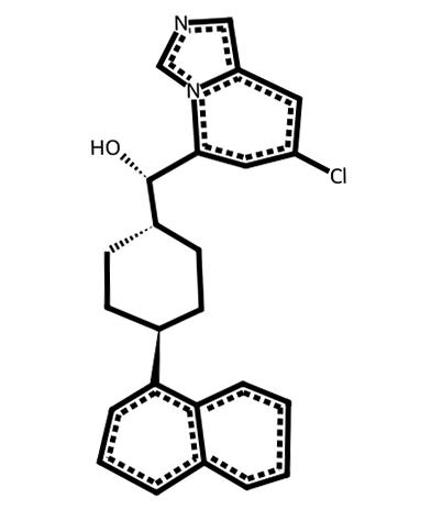 O[C@H](c1cc(Cl)cc2cncn12)[C@H]1CC[C@H](c2cccc3ccccc32)CC1